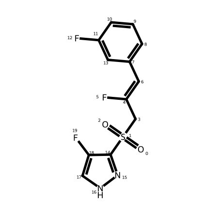 O=S(=O)(CC(F)=Cc1cccc(F)c1)c1n[nH]cc1F